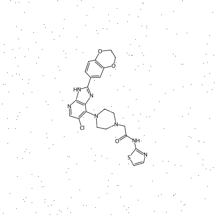 O=C(CN1CCN(c2c(Cl)cnc3[nH]c(-c4ccc5c(c4)OCCO5)nc23)CC1)Nc1nccs1